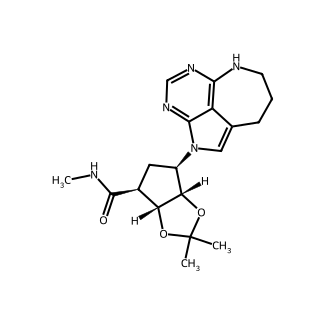 CNC(=O)[C@H]1C[C@@H](n2cc3c4c(ncnc42)NCCC3)[C@@H]2OC(C)(C)O[C@@H]21